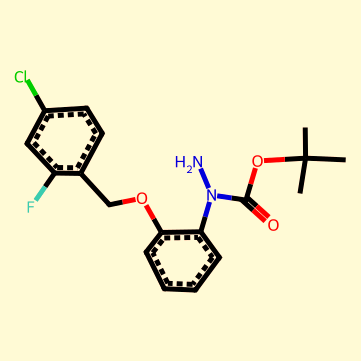 CC(C)(C)OC(=O)N(N)c1ccccc1OCc1ccc(Cl)cc1F